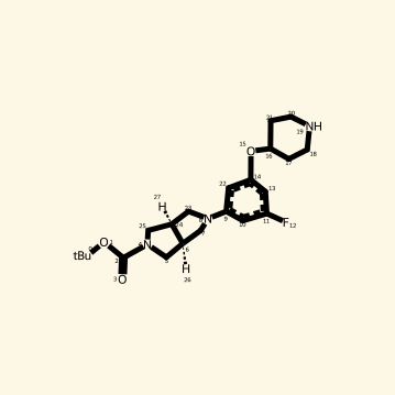 CC(C)(C)OC(=O)N1C[C@@H]2CN(c3cc(F)cc(OC4CCNCC4)c3)C[C@@H]2C1